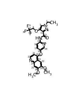 CCn1cc(OCC(F)(F)F)c(C(=O)Nc2ccc(Oc3ccnc4cc(OC)c(OC)cc34)cn2)n1